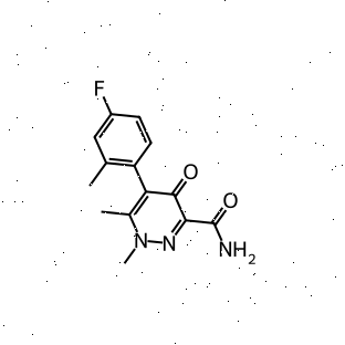 Cc1cc(F)ccc1-c1c(C)n(C)nc(C(N)=O)c1=O